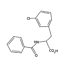 O=C(NC(Cc1cccc(Cl)c1)C(=O)O)c1ccccc1